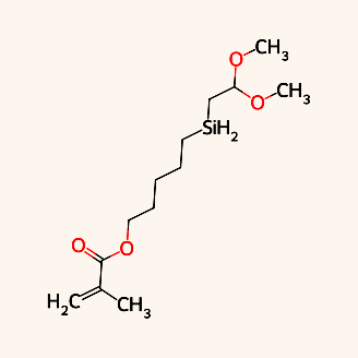 C=C(C)C(=O)OCCCCC[SiH2]CC(OC)OC